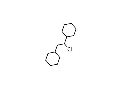 ClC(CC1CCCCC1)C1CCCCC1